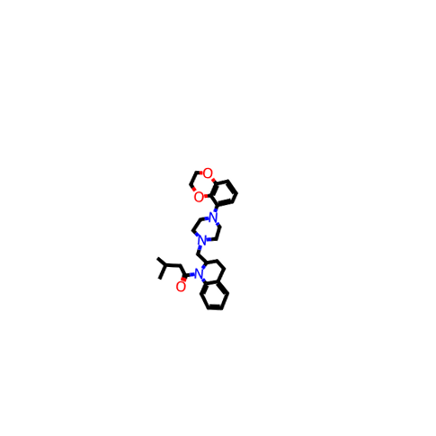 CC(C)CC(=O)N1c2ccccc2CCC1CN1CCN(c2cccc3c2OCCO3)CC1